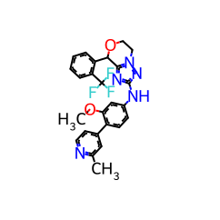 COc1cc(Nc2nc3n(n2)CCOC3c2ccccc2C(F)(F)F)ccc1-c1ccnc(C)c1